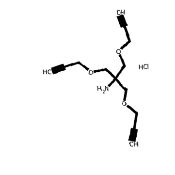 C#CCOCC(N)(COCC#C)COCC#C.Cl